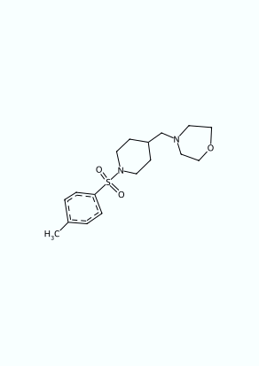 Cc1ccc(S(=O)(=O)N2CCC(CN3CCOCC3)CC2)cc1